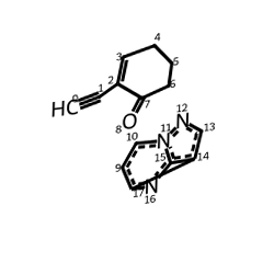 C#CC1=CCCCC1=O.c1cn2ncc3c2nc1-3